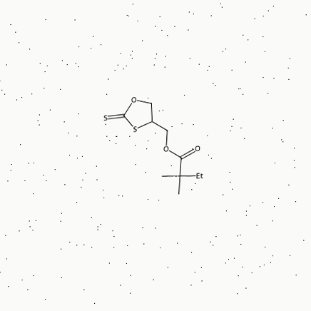 CCC(C)(C)C(=O)OCC1COC(=S)S1